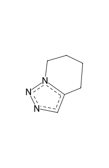 c1nnn2c1CCCC2